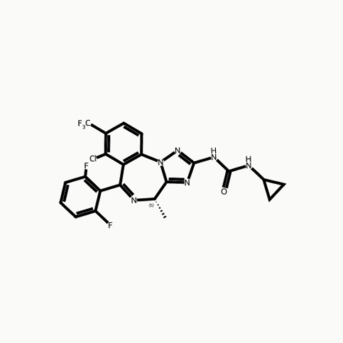 C[C@@H]1N=C(c2c(F)cccc2F)c2c(ccc(C(F)(F)F)c2Cl)-n2nc(NC(=O)NC3CC3)nc21